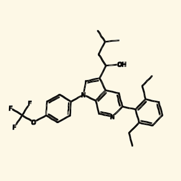 CCc1cccc(CC)c1-c1cc2c(C(O)CC(C)C)cn(-c3ccc(OC(F)(F)F)cc3)c2cn1